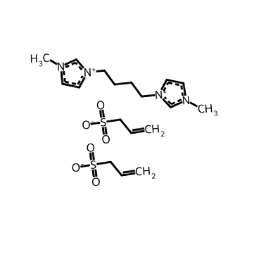 C=CCS(=O)(=O)[O-].C=CCS(=O)(=O)[O-].Cn1cc[n+](CCCC[n+]2ccn(C)c2)c1